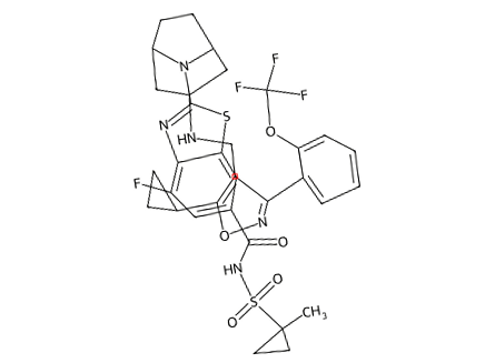 CC1(S(=O)(=O)NC(=O)c2cc(F)c3nc(N4C5CCC4CC(NCc4c(-c6ccccc6OC(F)(F)F)noc4C4CC4)C5)sc3c2)CC1